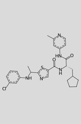 Cc1cc(NC(=O)[C@H](CC2CCCC2)NC(=O)c2cnc(C(C)Nc3cccc(Cl)c3)s2)ccn1